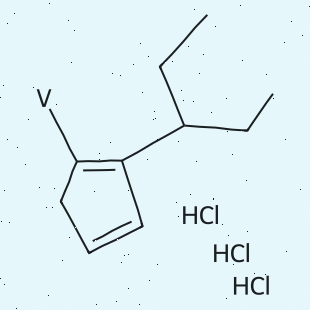 CCC(CC)C1=[C]([V])CC=C1.Cl.Cl.Cl